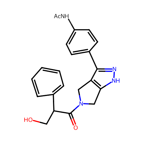 CC(=O)Nc1ccc(-c2n[nH]c3c2CN(C(=O)C(CO)c2ccccc2)C3)cc1